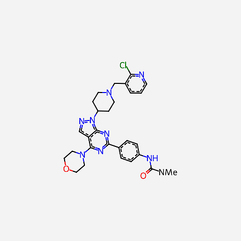 CNC(=O)Nc1ccc(-c2nc(N3CCOCC3)c3cnn(C4CCN(Cc5cccnc5Cl)CC4)c3n2)cc1